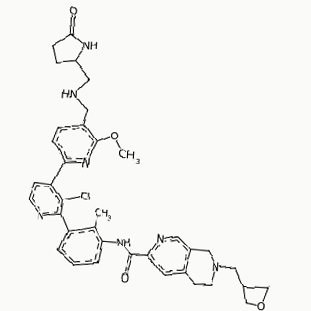 COc1nc(-c2ccnc(-c3cccc(NC(=O)c4cc5c(cn4)CN(CC4COC4)CC5)c3C)c2Cl)ccc1CNCC1CCC(=O)N1